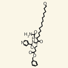 NC(=O)C[C@H](CCCCCCCCCCCCC=O)C(=O)[C@H](CCCC(=O)OCc1ccccc1)NC(=O)c1ccncc1